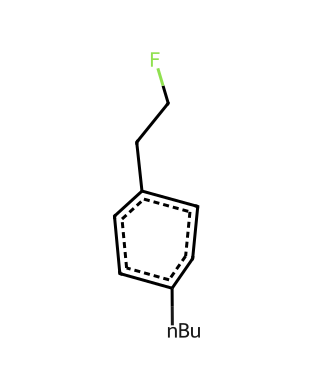 [CH]CCCc1ccc(CCF)cc1